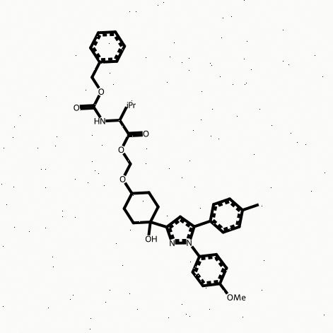 COc1ccc(-n2nc(C3(O)CCC(OCOC(=O)C(NC(=O)OCc4ccccc4)C(C)C)CC3)cc2-c2ccc(C)cc2)cc1